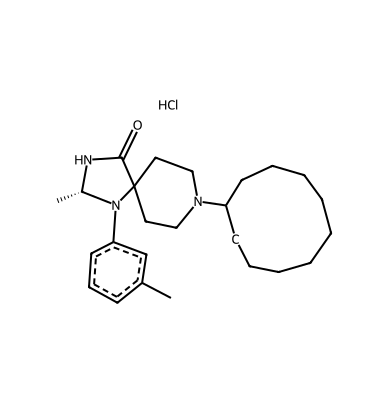 Cc1cccc(N2[C@H](C)NC(=O)C23CCN(C2CCCCCCCCC2)CC3)c1.Cl